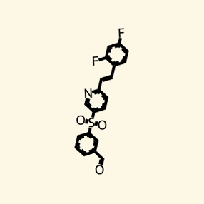 O=Cc1cccc(S(=O)(=O)c2ccc(C=Cc3ccc(F)cc3F)nc2)c1